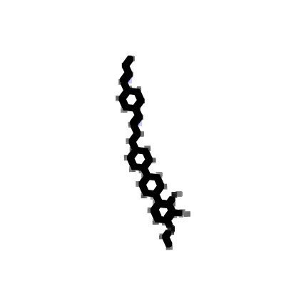 CC/C=C/C1CCC(/C=C/CCC2CCC(C3CCC(c4ccc(OCC)c(F)c4F)CC3)CC2)CC1